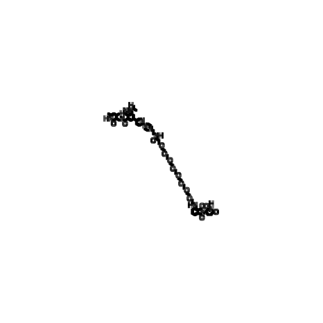 Cc1cc(C)c(CNC(=O)c2cc(-c3ccc(N4CCN(CCNC(=O)CCOCCOCCOCCOCCOCCOCCOCCOCCNc5cccc6c5C(=O)N(C5CCC(=O)NC5=O)C6=O)CC4)nc3)cc(NC(C)C)c2C=N)c(=O)[nH]1